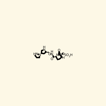 O=C(NOC[C@H]1C[C@H](N2CCCN2)CN1)[C@@H]1CC[C@@H]2CN1C(=O)N2OS(=O)(=O)O